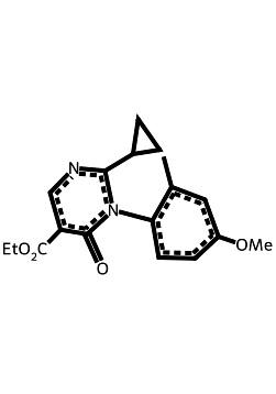 CCOC(=O)c1cnc(C2CC2)n(-c2ccc(OC)cc2C)c1=O